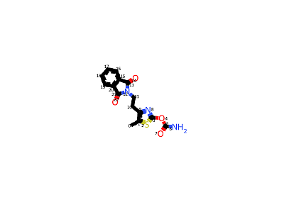 Cc1sc(OC(N)=O)nc1CCN1C(=O)c2ccccc2C1=O